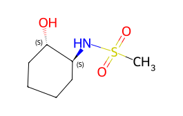 CS(=O)(=O)N[C@H]1CCCC[C@@H]1O